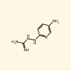 N=C(N)NNc1ccc(N)cn1